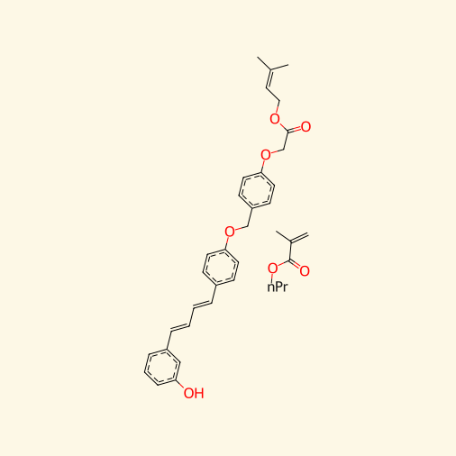 C=C(C)C(=O)OCCC.CC(C)=CCOC(=O)COc1ccc(COc2ccc(C=CC=Cc3cccc(O)c3)cc2)cc1